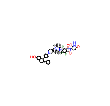 [2H]C1([2H])N(CC2CCN(c3ccc([C@@H]4c5ccc(O)cc5CC[C@@H]4c4ccccc4)cc3)CC2)C([2H])([2H])C([2H])([2H])N(c2c(F)c(F)c3c(c2F)C(=O)N(C2CCC(=O)NC2=O)C3=O)C1([2H])[2H]